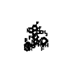 [2H]C([2H])(Oc1nc(N2CCCC[C@H]3[C@H](F)[C@H]32)c2cnc(-c3cncc4cc(F)c(F)c(OC)c34)c(F)c2n1)[C@@]12CCCN1C[C@H](F)C2